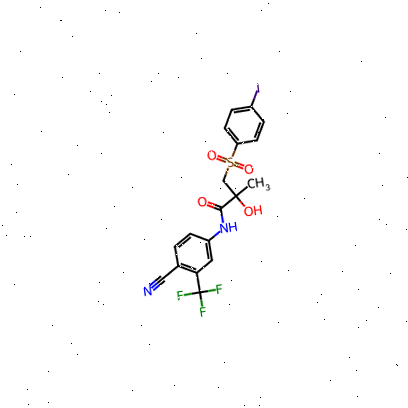 CC(O)(CS(=O)(=O)c1ccc(I)cc1)C(=O)Nc1ccc(C#N)c(C(F)(F)F)c1